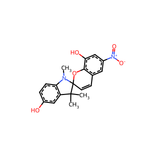 CN1c2ccc(O)cc2C(C)(C)C12C=Cc1cc([N+](=O)[O-])cc(O)c1O2